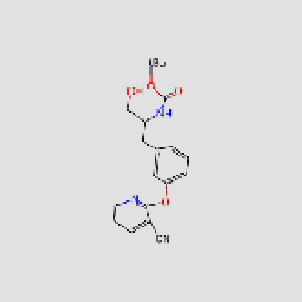 CC(C)(C)OC(=O)NC(CO)Cc1cccc(Oc2ncccc2C#N)c1